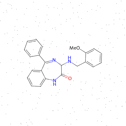 COc1ccccc1CNC1N=C(c2ccccc2)c2ccccc2NC1=O